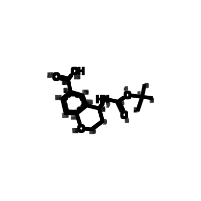 CC(C)(C)OC(=O)NC1CCOc2ccc(C(=O)O)cc21